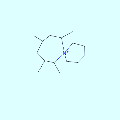 CC1CC(C)C(C)[N+]2(CCCCC2)C(C)C1